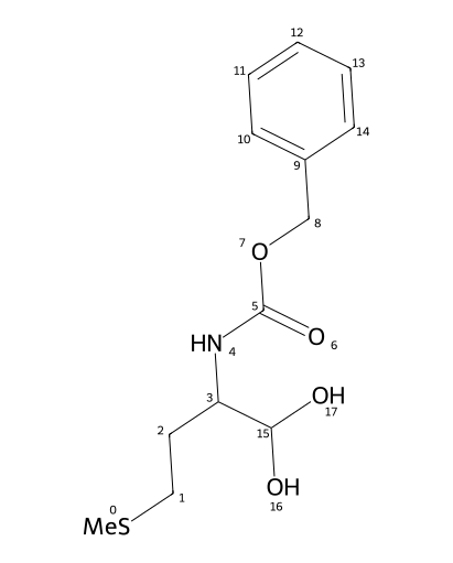 CSCCC(NC(=O)OCc1ccccc1)C(O)O